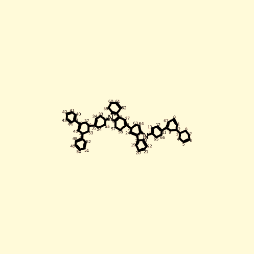 C1=CC(C2CC=CCC2)CC(C2=CC=C(n3c4c(c5ccccc53)=CC(C3=Cc5c6c(n(C7CC=C(C8CC(c9ccccc9)=CC(c9ccccc9)C8)CC7)c5CC3)CCC=C6)CC=4)CC2)=C1